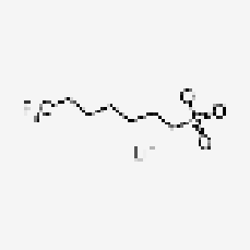 O=S(=O)([O-])CCCCCCC(F)(F)F.[Li+]